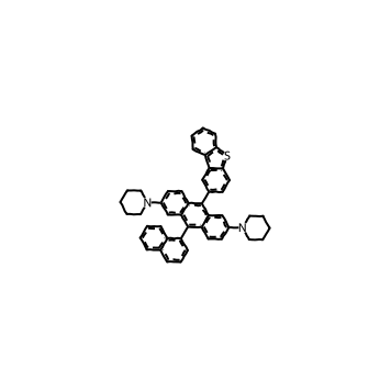 c1ccc2c(-c3c4ccc(N5CCCCC5)cc4c(-c4ccc5sc6ccccc6c5c4)c4ccc(N5CCCCC5)cc34)cccc2c1